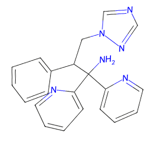 NC(c1ccccn1)(c1ccccn1)C(Cn1cncn1)c1ccccc1